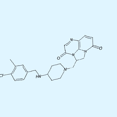 Cc1cc(CNC2CCN(CC3Cn4c(=O)ccc5ncc(=O)n3c54)CC2)ccc1Cl